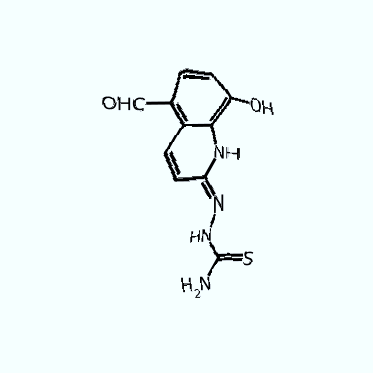 NC(=S)NN=c1ccc2c(C=O)ccc(O)c2[nH]1